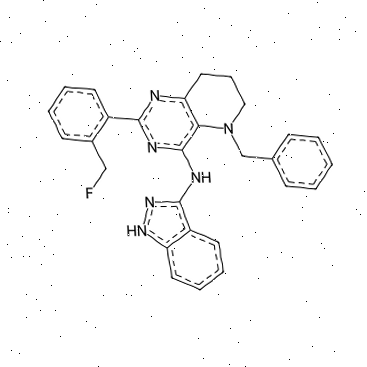 FCc1ccccc1-c1nc2c(c(Nc3n[nH]c4ccccc34)n1)N(Cc1ccccc1)CCC2